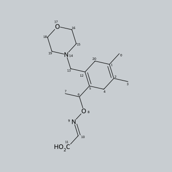 CC1=C(C)CC(C(C)ON=CC(=O)O)=C(CN2CCOCC2)C1